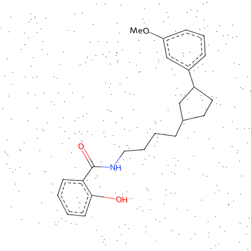 COc1cccc(C2CCC(CCCCNC(=O)c3ccccc3O)C2)c1